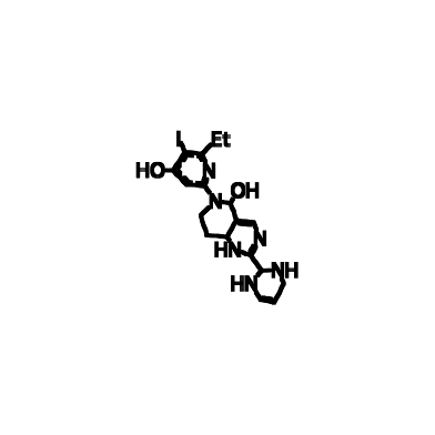 CCc1nc(N2CCC3NC(C4NC=CCN4)=NC=C3C2O)cc(O)c1I